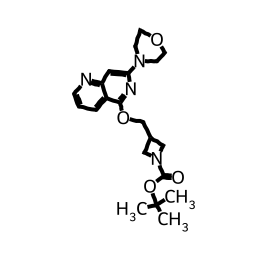 CC(C)(C)OC(=O)N1CC(COc2nc(N3CCOCC3)cc3ncccc23)C1